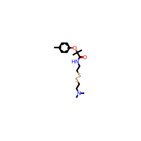 Cc1ccc(OC(C)(C)C(=O)NCCSSCCN(C)C)cc1